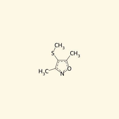 CSc1c(C)noc1C